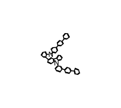 c1ccc(-c2ccc(-c3ccc(-n4c5ccccc5c5ccc6c(c7ccccc7n6-c6cccc(-c7ccc(-c8ccccc8)cc7)c6)c54)cc3)cc2)cc1